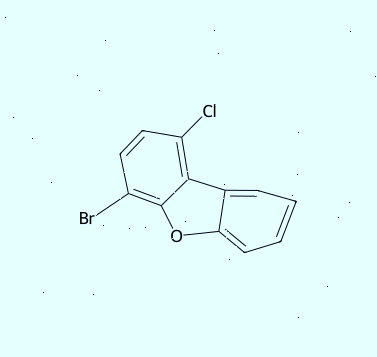 Clc1ccc(Br)c2oc3ccccc3c12